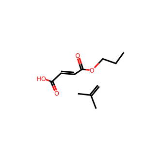 C=C(C)C.CCCOC(=O)/C=C/C(=O)O